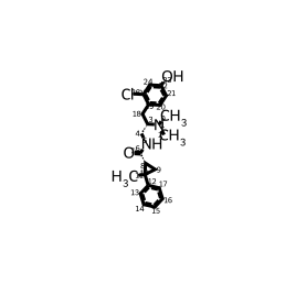 CN(C)[C@H](CNC(=O)[C@@H]1CC1(C)c1ccccc1)Cc1ccc(O)cc1Cl